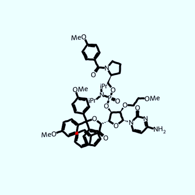 COCCO[C@@H]1[C@H](OP(=O)(OC[C@@H]2CCCN2C(=O)c2ccc(OC)cc2)N(C(C)C)C(C)C)[C@@H](C(OC(c2ccccc2)(c2ccc(OC)cc2)c2ccc(OC)cc2)C(=O)c2ccccc2)O[C@H]1n1ccc(N)nc1=O